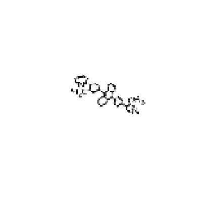 Cc1cnccc1-c1ccc(-c2c3ccccc3c(-c3ccc(-c4ccccn4)c(C)c3)c3ccccc23)cc1